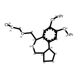 CCCOc1cc2c(cc1OCCC)C1CCCC1CSC2COCCCl